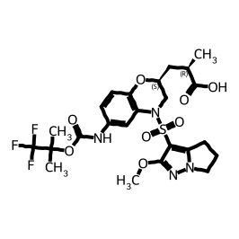 COc1nn2c(c1S(=O)(=O)N1C[C@H](C[C@@H](C)C(=O)O)Oc3ccc(NC(=O)OC(C)(C)C(F)(F)F)cc31)CCC2